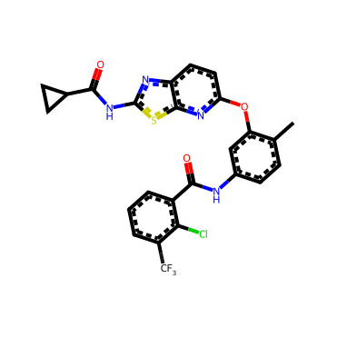 Cc1ccc(NC(=O)c2cccc(C(F)(F)F)c2Cl)cc1Oc1ccc2nc(NC(=O)C3CC3)sc2n1